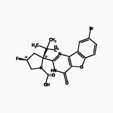 CC(C)(C)[C@]1(c2nc3c(oc4ccc(Br)cc43)c(=O)[nH]2)C[C@H](F)CN1C(=O)O